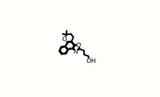 CC1(C)CCc2c(c3ccccc3c3nc(CCCO)oc23)O1